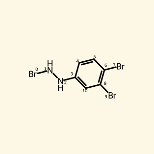 BrNNc1ccc(Br)c(Br)c1